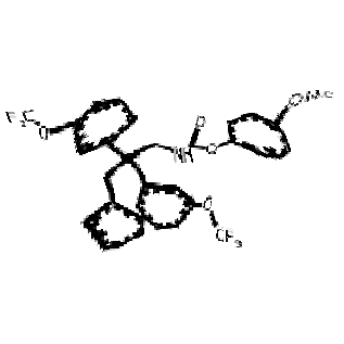 COc1ccc(OC(=O)NCC(Cc2ccccc2)(c2cccc(OC(F)(F)F)c2)c2cccc(OC(F)(F)F)c2)cc1